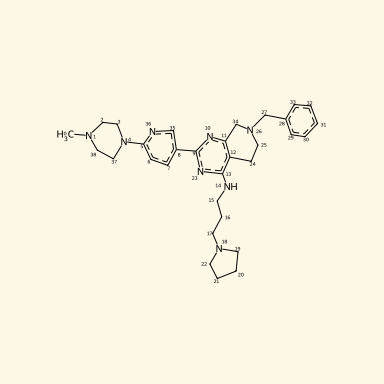 CN1CCN(c2ccc(-c3nc4c(c(NCCCN5CCCC5)n3)CCN(Cc3ccccc3)C4)cn2)CC1